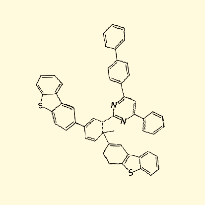 CC1(C2=Cc3c(sc4ccccc34)CC2)C=CC(c2ccc3sc4ccccc4c3c2)=CC1c1nc(-c2ccccc2)cc(-c2ccc(-c3ccccc3)cc2)n1